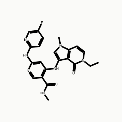 CCn1ccc2c(c(Nc3cc(Nc4ccc(F)cn4)ncc3C(=O)NC)cn2C)c1=O